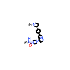 CC(C)NC(=O)N1CCN(c2ccnn3cc(-c4ccc([C@H]5CCCN(C(C)C)C5)cc4)cc23)CC1